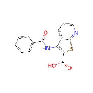 O=C(Nc1c(C(=O)O)sc2ncccc12)c1ccccc1